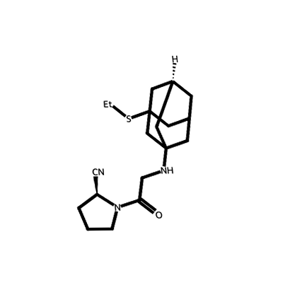 [CH2]CSC12CC3C[C@@H](CC(NCC(=O)N4CCC[C@H]4C#N)(C3)C1)C2